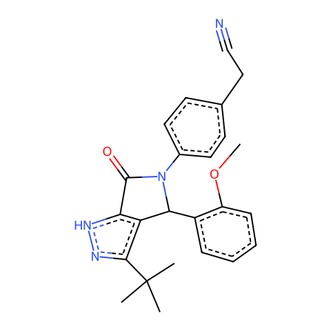 COc1ccccc1C1c2c(C(C)(C)C)n[nH]c2C(=O)N1c1ccc(CC#N)cc1